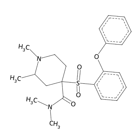 CC1CC(C(=O)N(C)C)(S(=O)(=O)c2ccccc2Oc2ccccc2)CCN1C